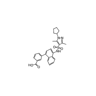 Cc1nn(C2CCCC2)c(C)c1S(=O)(=O)Nc1ccc(-c2cccc(C(=O)O)c2)c2ccccc12